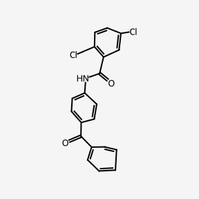 O=C(c1ccccc1)c1ccc(NC(=O)c2cc(Cl)ccc2Cl)cc1